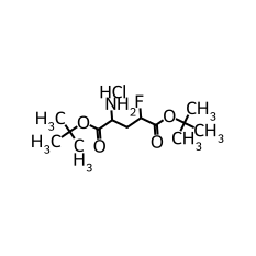 CC(C)(C)OC(=O)C(N)CC(F)C(=O)OC(C)(C)C.Cl